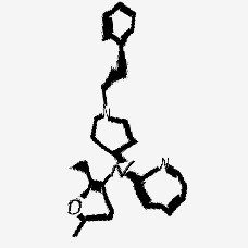 Cc1cc(N(c2ccccn2)C2CCN(CCc3ccccc3)CC2)c(C)o1